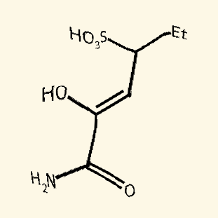 CCC(C=C(O)C(N)=O)S(=O)(=O)O